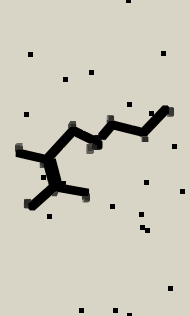 [CH2]CCSCC(C)=C(C)C